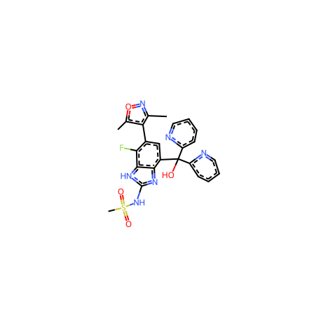 Cc1noc(C)c1-c1cc(C(O)(c2ccccn2)c2ccccn2)c2nc(NS(C)(=O)=O)[nH]c2c1F